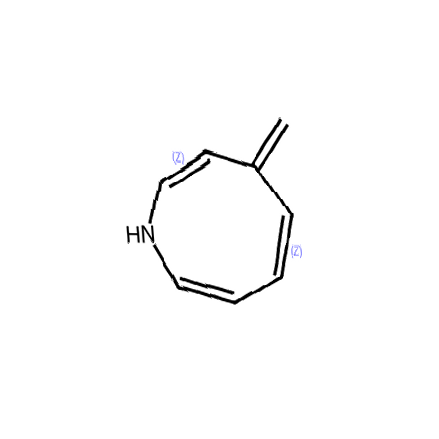 C=C1/C=C\C=CN/C=C\1